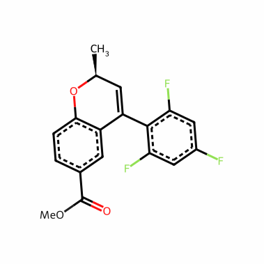 COC(=O)c1ccc2c(c1)C(c1c(F)cc(F)cc1F)=C[C@H](C)O2